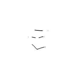 CC(C)CO.CC(C)OC(C)C.CCCCCCCC